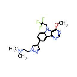 COc1ncnc2c3cc(-c4cnn(CCN(C)C)c4)ccc3n(CC(F)(F)F)c12